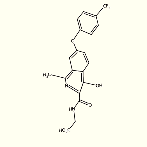 Cc1nc(C(=O)NCC(=O)O)c(O)c2ccc(Oc3ccc(C(F)(F)F)cc3)cc12